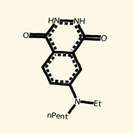 CCCCCN(CC)c1ccc2c(=O)[nH][nH]c(=O)c2c1